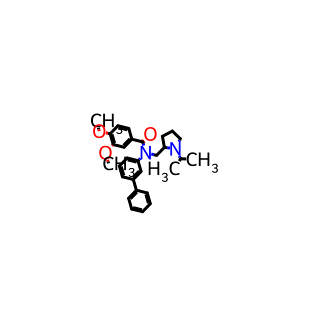 COc1ccc(C(=O)N(CC2CCCN2C(C)C)c2cccc(-c3ccccc3)c2)cc1OC